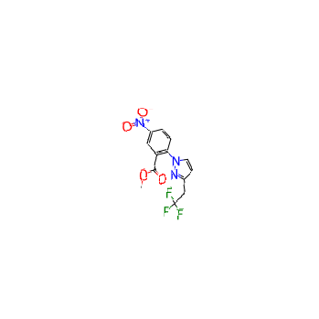 COC(=O)c1cc([N+](=O)[O-])ccc1-n1ccc(CC(F)(F)F)n1